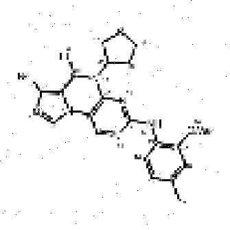 CC[C@@H]1c2c(C#N)ncn2-c2cnc(Nc3ccc(C)cc3OC)nc2N1C1CCCC1